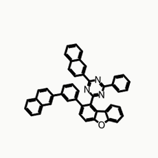 c1ccc(-c2nc(-c3ccc4ccccc4c3)nc(-c3c(-c4cccc(-c5ccc6ccccc6c5)c4)ccc4oc5ccccc5c34)n2)cc1